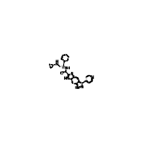 O=C(N[C@H](CNC1CC1)c1ccccc1)c1nc2cc3c(-c4ccncc4)n[nH]c3cc2[nH]1